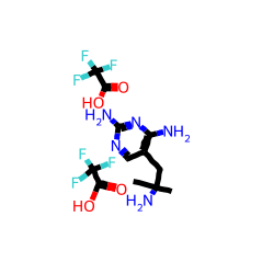 CC(C)(N)Cc1cnc(N)nc1N.O=C(O)C(F)(F)F.O=C(O)C(F)(F)F